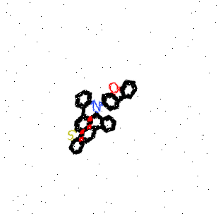 c1ccc(N(c2ccc3c(c2)oc2ccccc23)c2cc3ccccc3c3ccccc23)c(-c2ccc3c(c2)sc2ccccc23)c1